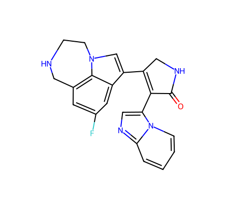 O=C1NCC(c2cn3c4c(cc(F)cc24)CNCC3)=C1c1cnc2ccccn12